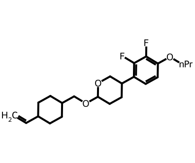 C=CC1CCC(COC2CCC(c3ccc(OCCC)c(F)c3F)CO2)CC1